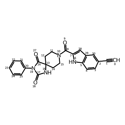 C#Cc1ccc2[nH]c(C(=O)N3CCC4(CC3)NC(=O)N(c3ccccc3)C4=O)cc2c1